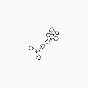 c1ccc(-c2cc(-c3ccc(-c4ccc5c(c4)c4cccc6c4n5-c4ccccc4C64c5ccccc5-c5ccccc54)cc3)cc(-c3ccccc3)n2)cc1